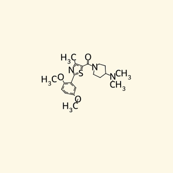 COc1ccc(OC)c(-c2nc(C)c(C(=O)N3CCC(N(C)C)CC3)s2)c1